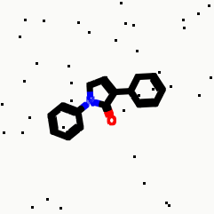 O=C1C(C2C=CC=CC2)=CCN1c1ccccc1